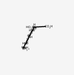 BC(=O)C(N)CCCCNC(=O)COCCOCCNC(=O)COCCOCCNC(=O)CCC(NC(=O)CCCCCCCCCCCCC(=O)O)C(=O)O